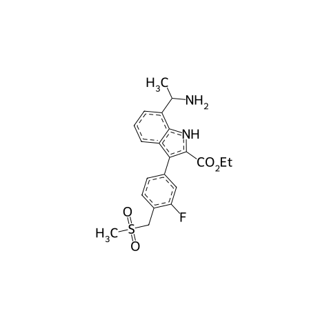 CCOC(=O)c1[nH]c2c(C(C)N)cccc2c1-c1ccc(CS(C)(=O)=O)c(F)c1